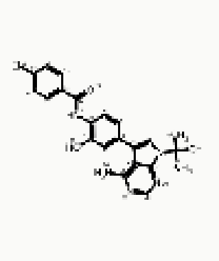 CC(C)(C)n1cc(-c2ccc(NC(=O)c3ccc(Cl)cc3)c(O)c2)c2c(N)ncnc21